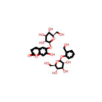 O=c1ccc2cc(O[C@@H]3O[C@H](CO)[C@@H](O)[C@H](O)[C@H]3O)c(O)cc2o1.OCc1ccccc1O[C@@H]1O[C@H](CO)[C@@H](O)[C@H](O)[C@H]1O